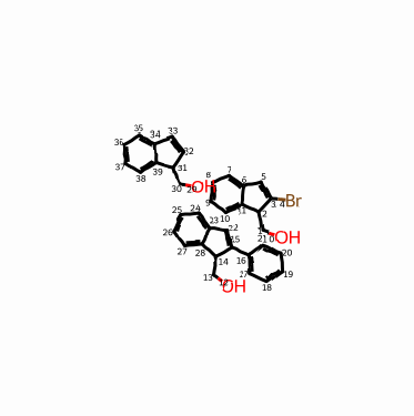 OCC1C(Br)=Cc2ccccc21.OCC1C(c2ccccc2)=Cc2ccccc21.OCC1C=Cc2ccccc21